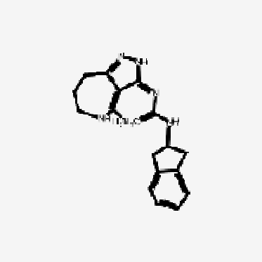 C=C(/N=C1/NN=C2CCCNC(N)=C21)NC1Cc2ccccc2C1